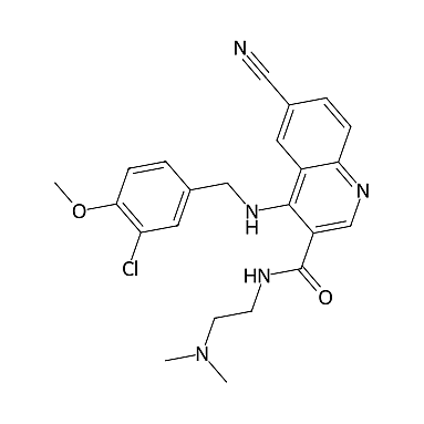 COc1ccc(CNc2c(C(=O)NCCN(C)C)cnc3ccc(C#N)cc23)cc1Cl